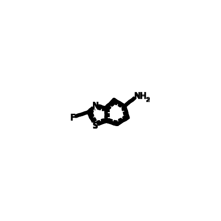 Nc1ccc2sc(F)nc2c1